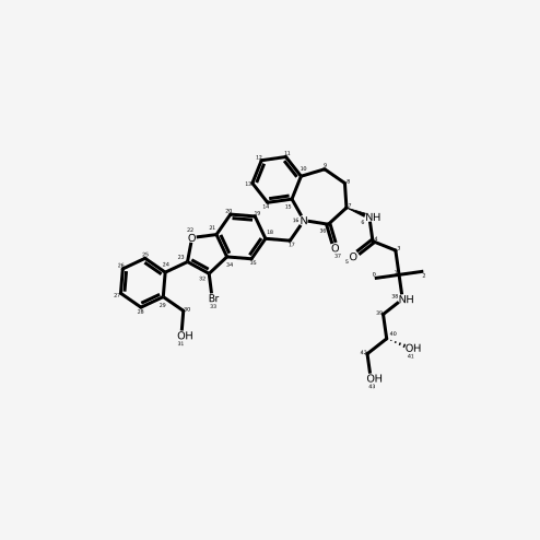 CC(C)(CC(=O)N[C@@H]1CCc2ccccc2N(Cc2ccc3oc(-c4ccccc4CO)c(Br)c3c2)C1=O)NC[C@H](O)CO